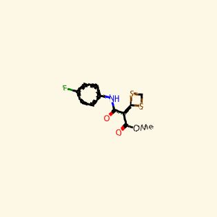 COC(=O)C(C(=O)Nc1ccc(F)cc1)=C1SCS1